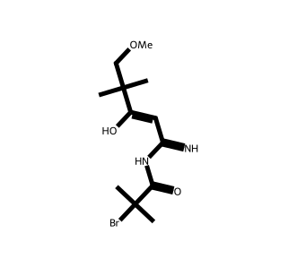 COCC(C)(C)/C(O)=C/C(=N)NC(=O)C(C)(C)Br